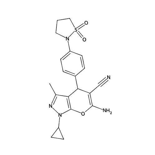 Cc1nn(C2CC2)c2c1C(c1ccc(N3CCCS3(=O)=O)cc1)C(C#N)=C(N)O2